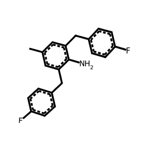 Cc1cc(Cc2ccc(F)cc2)c(N)c(Cc2ccc(F)cc2)c1